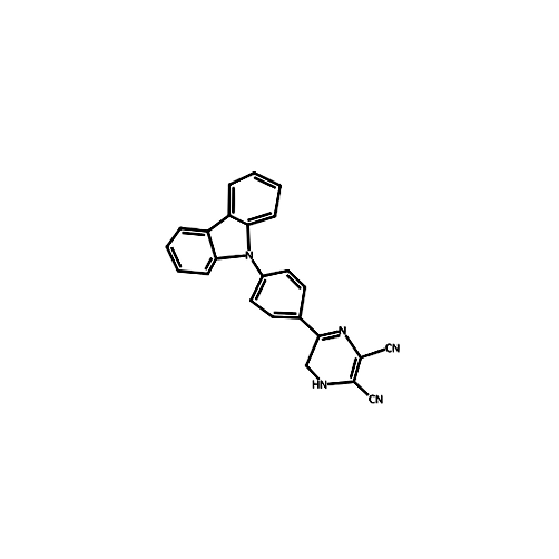 N#CC1=C(C#N)NCC(c2ccc(-n3c4ccccc4c4ccccc43)cc2)=N1